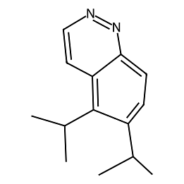 CC(C)c1ccc2nnccc2c1C(C)C